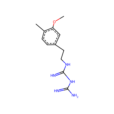 COc1cc(CCNC(=N)NC(=N)N)ccc1C